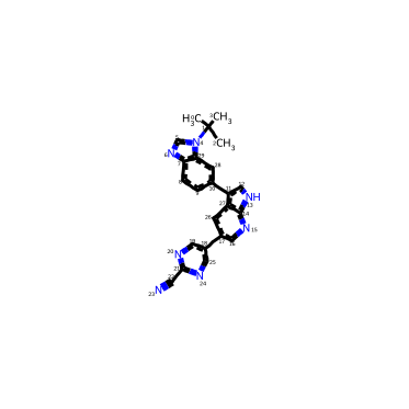 CC(C)(C)n1cnc2ccc(-c3c[nH]c4ncc(-c5cnc(C#N)nc5)cc34)cc21